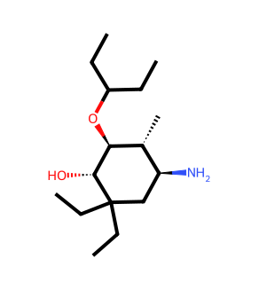 CCC(CC)O[C@H]1[C@H](C)[C@@H](N)CC(CC)(CC)[C@@H]1O